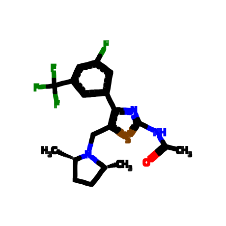 CC(=O)Nc1nc(-c2cc(F)cc(C(F)(F)F)c2)c(CN2[C@H](C)CC[C@@H]2C)s1